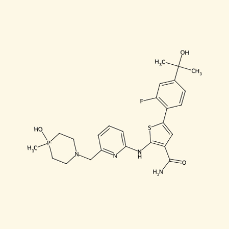 CC(C)(O)c1ccc(-c2cc(C(N)=O)c(Nc3cccc(CN4CC[P](C)(O)CC4)n3)s2)c(F)c1